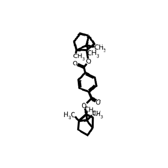 CC1(C)C2CCC1(C)C(OC(=O)c1ccc(C(=O)OC3CC4CCC3(C)C4(C)C)cc1)C2